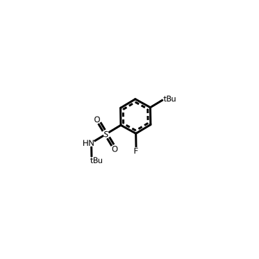 CC(C)(C)NS(=O)(=O)c1ccc(C(C)(C)C)cc1F